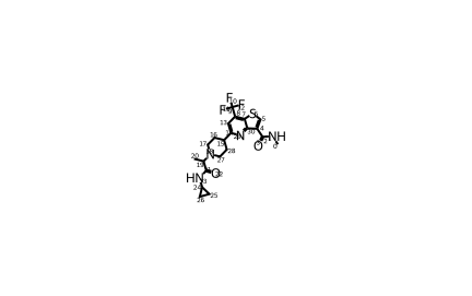 CNC(=O)c1csc2c(C(F)(F)F)cc(C3CCN(C(C)C(=O)NC4CC4)CC3)nc12